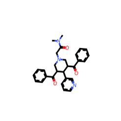 CN(C)C(=O)CN1CC(C(=O)c2ccccc2)C(c2cccnc2)C(C(=O)c2ccccc2)C1